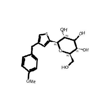 COc1ccc(Cc2csc([C@@H]3O[C@H](CO)[C@@H](O)C(O)[C@H]3O)c2)cc1